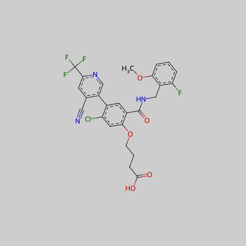 COc1cccc(F)c1CNC(=O)c1cc(-c2cnc(C(F)(F)F)cc2C#N)c(Cl)cc1OCCCC(=O)O